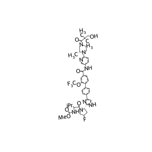 COC(=O)N[C@H](C(=O)N1C[C@H](F)C[C@H]1c1nc(-c2ccc(-c3ccc(C(=O)Nc4ccc(N5CCN(C(=O)C(C)(C)CO)C[C@H]5C)nc4)cc3OC(F)(F)F)cc2)c[nH]1)C(C)C